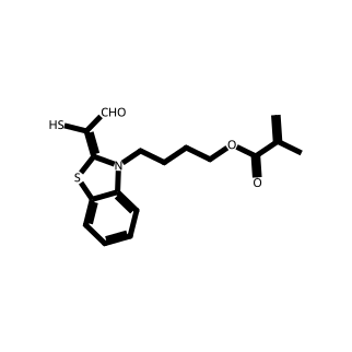 C=C(C)C(=O)OCCCCN1/C(=C(/S)C=O)Sc2ccccc21